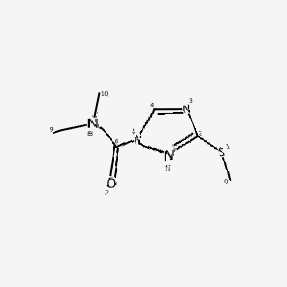 CSc1ncn(C(=O)N(C)C)n1